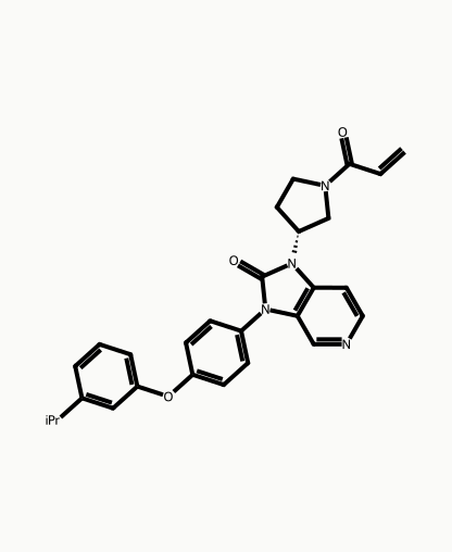 C=CC(=O)N1CC[C@@H](n2c(=O)n(-c3ccc(Oc4cccc(C(C)C)c4)cc3)c3cnccc32)C1